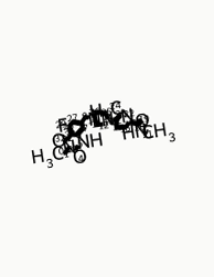 CCn1c(=O)[nH]c2cc(CN3CCN(c4ccc(C(=O)NC)nc4C)CC3)cc(F)c2c1=O